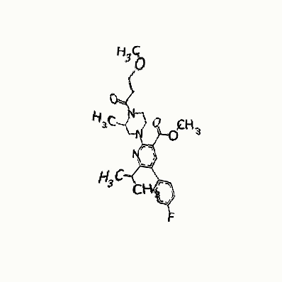 COCCC(=O)N1CCN(c2nc(C(C)C)c(-c3ccc(F)cc3)cc2C(=O)OC)CC1C